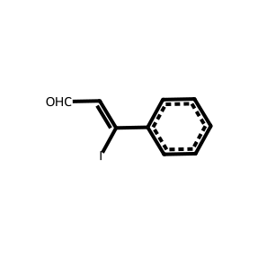 O=CC=C(I)c1ccccc1